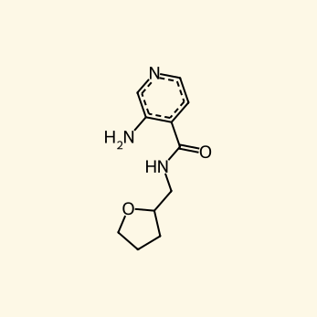 Nc1cnccc1C(=O)NCC1CCCO1